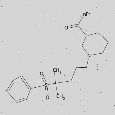 CCCC(=O)C1CCCN(CCCC(C)(C)S(=O)(=O)c2ccccc2)C1